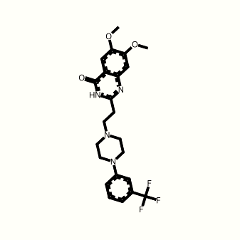 COc1cc2nc(CCN3CCN(c4cccc(C(F)(F)F)c4)CC3)[nH]c(=O)c2cc1OC